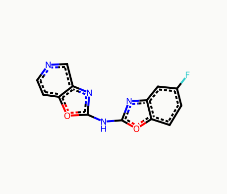 Fc1ccc2oc(Nc3nc4cnccc4o3)nc2c1